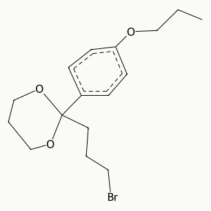 CCCOc1ccc(C2(CCCBr)OCCCO2)cc1